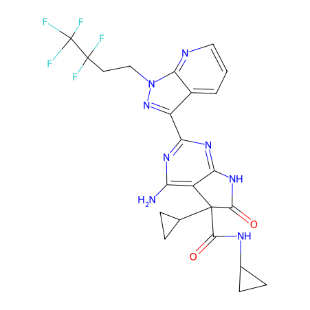 Nc1nc(-c2nn(CCC(F)(F)C(F)(F)F)c3ncccc23)nc2c1C(C(=O)NC1CC1)(C1CC1)C(=O)N2